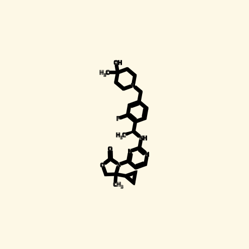 C[C@H](Nc1nccc(N2C(=O)OCC2(C)C2CC2)n1)c1ccc(CN2CCC(C)(O)CC2)cc1F